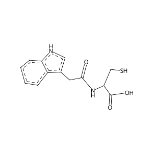 O=C(Cc1c[nH]c2ccccc12)NC(CS)C(=O)O